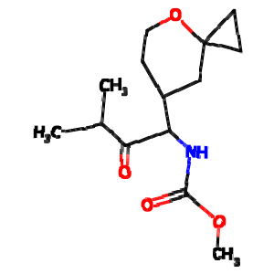 COC(=O)NC(C(=O)C(C)C)C1CCOC2(CC2)C1